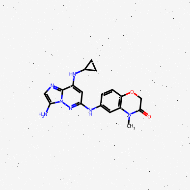 CN1C(=O)COc2ccc(Nc3cc(NC4CC4)c4ncc(N)n4n3)cc21